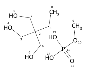 CCC(CO)(CO)CO.COP(=O)(O)O